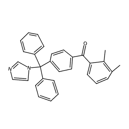 Cc1cccc(C(=O)c2ccc(C(c3ccccc3)(c3ccccc3)n3ccnc3)cc2)c1C